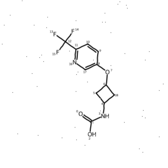 O=C(O)NC1CC(Oc2ccc(C(F)(F)F)nc2)C1